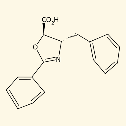 O=C(O)[C@@H]1OC(c2ccccc2)=N[C@H]1Cc1ccccc1